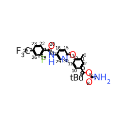 Cc1cc(C(OC(N)=O)C(C)(C)C)ccc1Oc1ccc(NC(=O)c2ccc(C(F)(F)F)cc2F)cn1